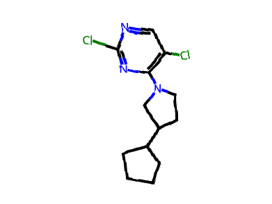 Clc1ncc(Cl)c(N2CCC(C3CCCC3)C2)n1